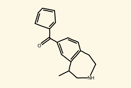 CC1CNCCc2ccc(C(=O)c3ccccc3)cc21